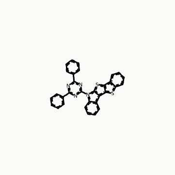 c1ccc(-c2nc(-c3ccccc3)nc(-n3c4ccccc4c4c5sc6ccccc6c5sc43)n2)cc1